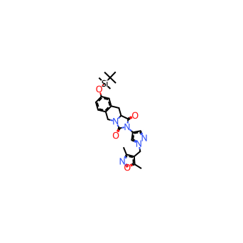 Cc1noc(C)c1Cn1cc(N2C(=O)C3Cc4cc(O[Si](C)(C)C(C)(C)C)ccc4CN3C2=O)cn1